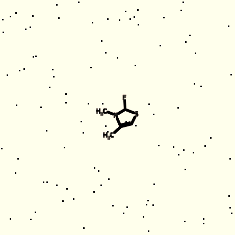 CC1=CSC(F)N1C